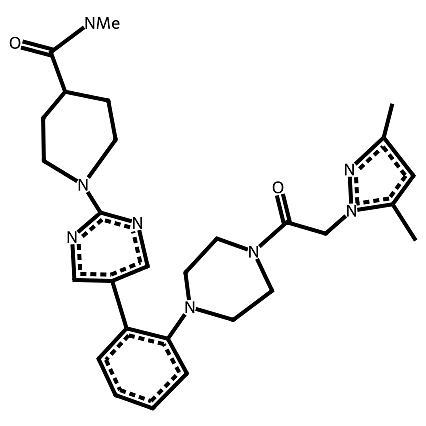 CNC(=O)C1CCN(c2ncc(-c3ccccc3N3CCN(C(=O)Cn4nc(C)cc4C)CC3)cn2)CC1